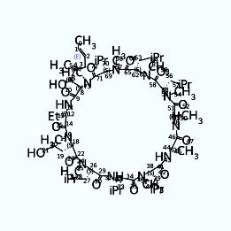 C/C=C/C[C@@H](C)[C@@H](O)[C@H]1C(=O)N[C@@H](CC)C(=O)N(C)[C@@H](CCO)C(=O)N(C)[C@@H](CC(C)C)C(=O)N[C@@H](C(C)C)C(=O)N(C)[C@@H](CC(C)C)C(=O)N[C@@H](C)C(=O)N[C@H](C)C(=O)N(C)[C@@H](CC(C)C)C(=O)N(C)[C@@H](CC(C)C)C(=O)N(C)[C@@H](C(C)C)C(=O)N1C